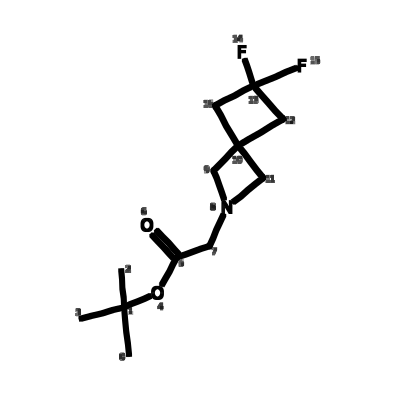 CC(C)(C)OC(=O)CN1CC2(C1)CC(F)(F)C2